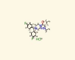 CC(C)C[C@H](NC(C)C)C(=O)N1CCN(C(c2ccc(F)cc2)c2ccc(F)cc2)CC1.Cl